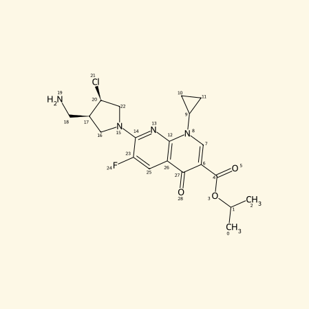 CC(C)OC(=O)c1cn(C2CC2)c2nc(N3C[C@@H](CN)[C@@H](Cl)C3)c(F)cc2c1=O